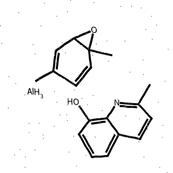 CC1=CC2OC2(C)C=C1.Cc1ccc2cccc(O)c2n1.[AlH3]